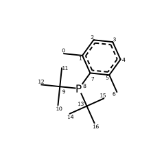 Cc1cccc(C)c1P(C(C)(C)C)C(C)(C)C